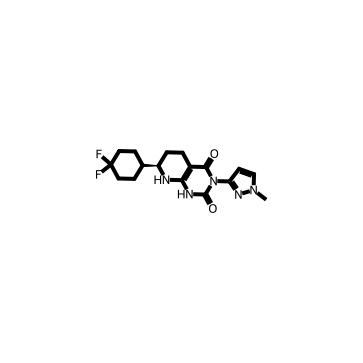 Cn1ccc(-n2c(=O)[nH]c3c(c2=O)CC[C@H](C2CCC(F)(F)CC2)N3)n1